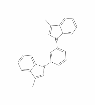 Cc1cn(-c2cccc(-n3cc(C)c4ccccc43)c2)c2ccccc12